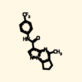 Cc1nc2c(C(=O)Nc3ccc(C(F)(F)F)cc3)cnn2c2c1CCC2